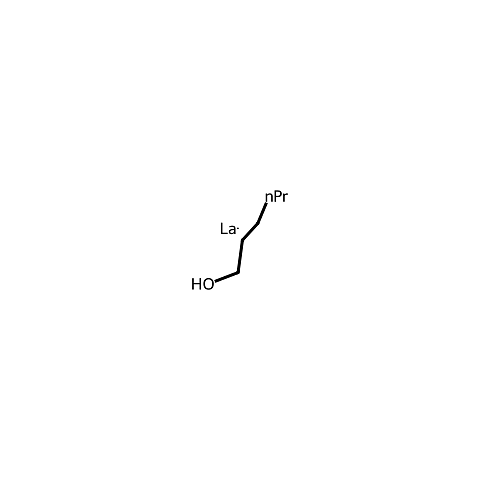 CCCCCCO.[La]